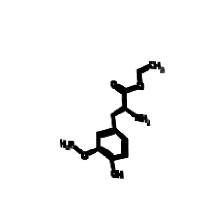 CCOC(=O)[C@@H](N)Cc1ccc(O)c(OP)c1